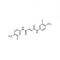 Cc1ccc(NC(=O)/C=C/C(=O)Nc2ccc(C)c(F)c2)cc1F